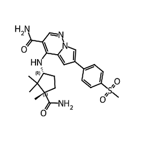 CC1(C)[C@H](Nc2c(C(N)=O)cnn3cc(-c4ccc(S(C)(=O)=O)cc4)cc23)CC[C@]1(C)C(N)=O